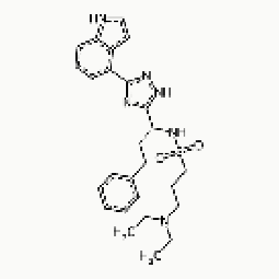 CCN(CC)CCCS(=O)(=O)N[C@H](CCc1ccccc1)c1nc(-c2cccc3[nH]ccc23)n[nH]1